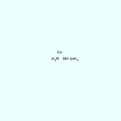 [AlH3].[Cu].[Mn].[SnH4]